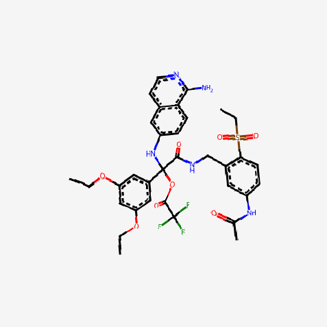 CCOc1cc(OCC)cc(C(Nc2ccc3c(N)nccc3c2)(OC(=O)C(F)(F)F)C(=O)NCc2cc(NC(C)=O)ccc2S(=O)(=O)CC)c1